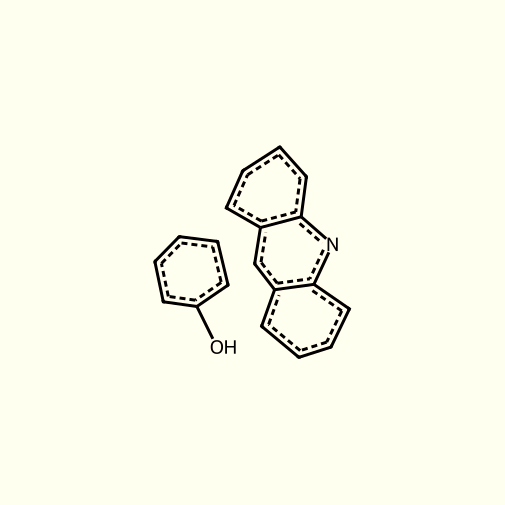 Oc1ccccc1.c1ccc2nc3ccccc3cc2c1